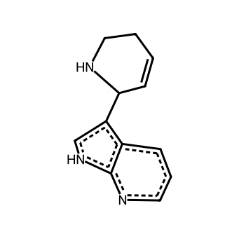 C1=CC(c2c[nH]c3ncccc23)NCC1